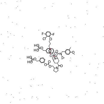 COc1ccc(CN(C(=O)C2=C(c3ccc(CCCOc4c(F)ccc(F)c4Cl)cc3)CC3CC(C(=O)N4CCCC4COC(=O)Oc4cccc(CON(O)O)c4)CC2N3C(=O)Oc2cccc(CON(O)O)c2)C2CC2)cc1C